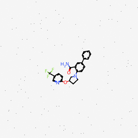 NC(=O)c1cc(-c2ccccc2)ccc1N1CC[C@@H](Oc2ccc(C(F)(F)F)cn2)C1